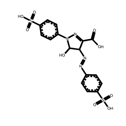 O=C(O)C1=NN(c2ccc(S(=O)(=O)O)cc2)C(O)C1N=Nc1ccc(S(=O)(=O)O)cc1